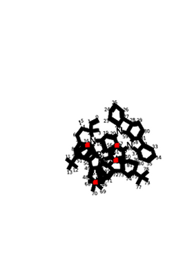 C=CC1(C)[C@@H](C)Cc2cc(C(C)(C)C)cc3c2N1c1cc(-n2c4ccccc4c4ccc5c6ccccc6n(-c6ccc(-n7c8ccccc8c8ccccc87)cc6)c5c42)cc2c1B3c1cc(C(C)(C)C)cc3c4cc(C(C)(C)C)ccc4n-2c13